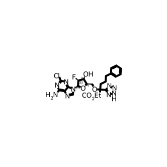 CCOC(=O)C(CCCc1ccccc1)(OC[C@H]1O[C@@H](n2cnc3c(N)nc(Cl)nc32)[C@@H](F)[C@@H]1O)c1nn[nH]n1